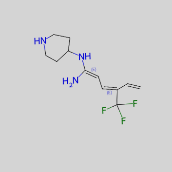 C=C/C(=C\C=C(/N)NC1CCNCC1)C(F)(F)F